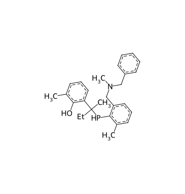 CCC(C)(Pc1c(C)cccc1CN(C)Cc1ccccc1)c1cccc(C)c1O